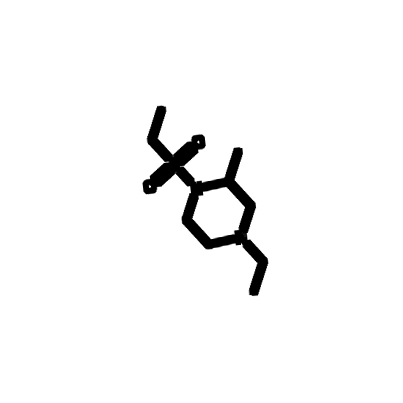 CCN1CCN(S(=O)(=O)CC)C(C)C1